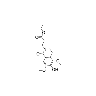 CCOC(=O)CCN1CCc2c(cc(OC)c(O)c2OC)C1=O